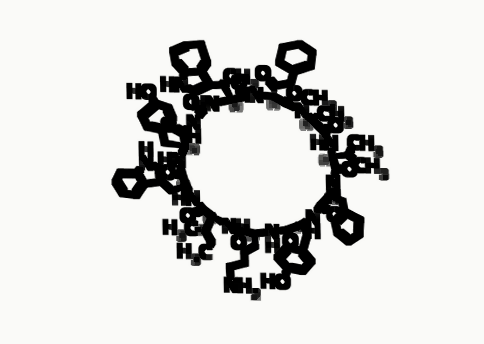 C=C(c1c[nH]c2c1=CCC=CC=2)[C@@H]1NC(=O)NC(=O)[C@H](Cc2ccc(O)cc2)NC(=O)[C@H](Cc2c[nH]c3ccccc23)NC(=O)[C@H]([C@@H](C)CC)NC(=O)[C@H](CCCCN)NC(=O)[C@H](Cc2ccc(O)cc2)NC(=O)[C@H](Cc2ccccc2)NC(=O)[C@H](C(C)C)NC(=O)[C@H](C)N(C)C(=O)[C@@H](C(=O)CC2=CCCCC2)NC1=O